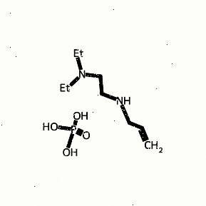 C=CCNCCN(CC)CC.O=P(O)(O)O